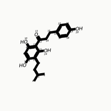 CC(C)CCc1c(O)cc(O)c(C(=O)CCc2ccc(O)cc2)c1O